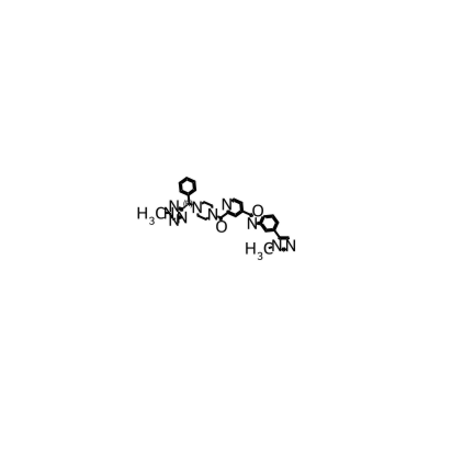 Cn1nnc([C@@H](c2ccccc2)N2CCN(C(=O)c3cc(-c4nc5cc(-c6cncn6C)ccc5o4)ccn3)CC2)n1